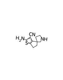 N#Cc1c(N)sc2c1C1(CCNC1)CC2